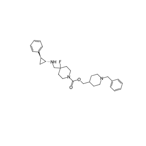 O=C(OCC1CCN(Cc2ccccc2)CC1)N1CCC(F)(CN[C@@H]2C[C@H]2c2ccccc2)CC1